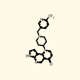 O=c1ccn(C2CCN(Cc3ccc(C(F)(F)F)nc3)CC2)c2c1cnc1[nH]ccc12